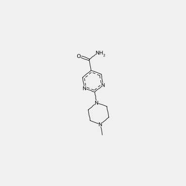 CN1CCN(c2ncc(C(N)=O)cn2)CC1